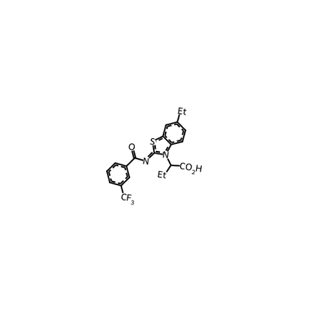 CCc1ccc2c(c1)sc(=NC(=O)c1cccc(C(F)(F)F)c1)n2C(CC)C(=O)O